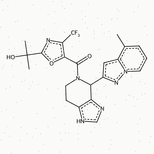 Cc1cccn2nc(C3c4nc[nH]c4CCN3C(=O)c3oc(C(C)(C)O)nc3C(F)(F)F)cc12